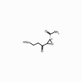 CCCCCCCCC(=O)C1O[C@H]1C(N)=O